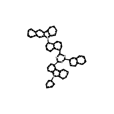 c1ccc(-n2c3ccccc3c3c(-c4nc(-c5ccc6ccccc6c5)nc(-c5cccc6c(-n7c8ccccc8c8cc9ccccc9cc87)cccc56)n4)cccc32)cc1